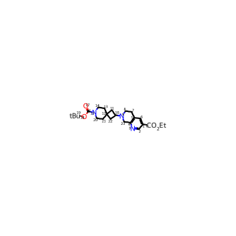 CCOC(=O)c1cnc2c(c1)CCN(C1CC3(CCN(C(=O)OC(C)(C)C)CC3)C1)C2